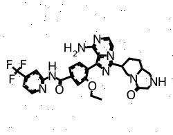 CCOc1cc(C(=O)Nc2cc(C(F)(F)F)ccn2)ccc1-c1nc(C2CCC3CNCC(=O)N3C2)n2ccnc(N)c12